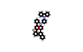 c1cc(N(c2ccc(-c3ccc4ccccc4c3)cc2)c2ccccc2-c2ccc3c(c2)sc2ccccc23)cc(-n2c3ccccc3c3ccccc32)c1